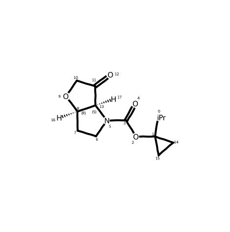 CC(C)C1(OC(=O)N2CC[C@H]3OCC(=O)[C@H]32)CC1